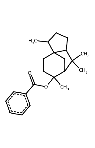 CC1CCC2C(C)(C)C3CC12CCC3(C)OC(=O)c1ccccc1